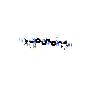 CN[C@@H]1C[C@@H]1CCc1nc2ccc(-c3ccc4nc(-c5ccc6nc(CC[C@H]7C(C)[C@H]7N)[nH]c6c5)ccc4n3)cc2[nH]1